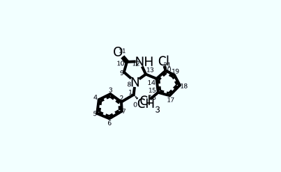 C[C@H](c1ccccc1)N1CC(=O)NC1c1c(Cl)cccc1Cl